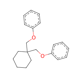 c1ccc(OCC2(COc3ccccc3)CCCCC2)cc1